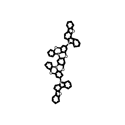 c1ccc2c(c1)Oc1cc(-n3c4ccccc4c4c5oc6ccccc6c5ccc43)cc3c1B2c1cc2c(cc1O3)Oc1cc(-n3c4ccccc4c4c5oc6ccccc6c5ccc43)cc3c1B2c1ccccc1O3